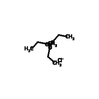 CCCCCCCC/C=C\CCCCCCCCOCC[N+](C)(CCOCCCCCCCC/C=C\CCCCCCCC)CCOCCCCCCCC/C=C\CCCCCCCC.[Cl-]